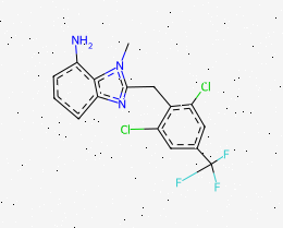 Cn1c(Cc2c(Cl)cc(C(F)(F)F)cc2Cl)nc2cccc(N)c21